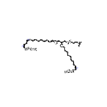 CCCCC/C=C\C/C=C\CCCCCCCCOCC(CSSCCN(C)C)OCCCCCCCC/C=C\CCCCCCCC